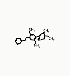 C=CC1=CNC(c2cc(CC)c(CCc3ccccc3)cc2CN)=CC1=C